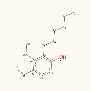 CCCCCCc1c(O)ccc(CC)c1CC